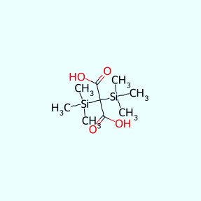 C[Si](C)(C)C(C(=O)O)(C(=O)O)[Si](C)(C)C